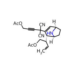 C=CC(COC(C)=O)[C@@H]1C(C(C#N)(C#N)C#CCOC(C)=O)=C[C@H]2CC[C@@H]1N2